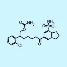 NC(=O)OCC(CCCCC(=O)c1cc2c(c(S(N)(=O)=O)c1)CCC2)c1ccccc1Cl